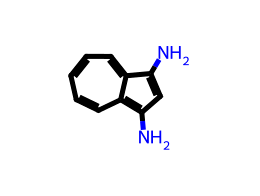 Nc1cc(N)c2cccccc1-2